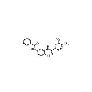 COc1ccc(C(=O)Nc2cc(NC(=O)c3ccccc3)ccc2Cl)cc1OC